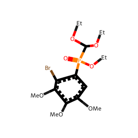 CCOC(OCC)P(=O)(OCC)c1cc(OC)c(OC)c(OC)c1Br